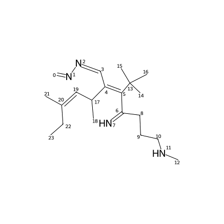 C=N/N=C\C(=C(\C(=N)CCCNC)C(C)(C)C)C(C)/C=C(/C)CC